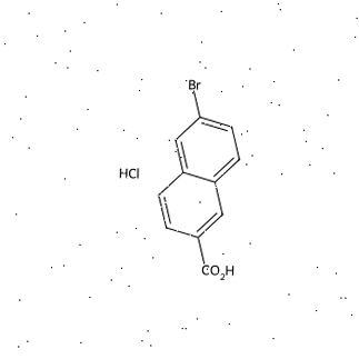 Cl.O=C(O)c1ccc2cc(Br)ccc2c1